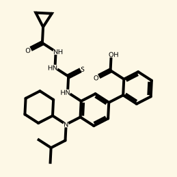 CC(C)CN(c1ccc(-c2ccccc2C(=O)O)cc1NC(=S)NNC(=O)C1CC1)C1CCCCC1